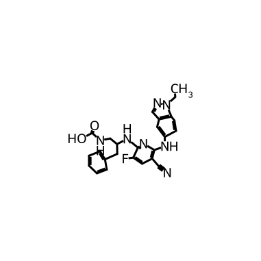 CCn1ncc2cc(Nc3nc(NC(CNC(=O)O)Cc4ccccc4)c(F)cc3C#N)ccc21